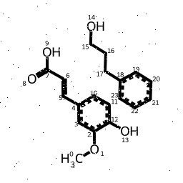 COc1cc(/C=C/C(=O)O)ccc1O.OCCCc1ccccc1